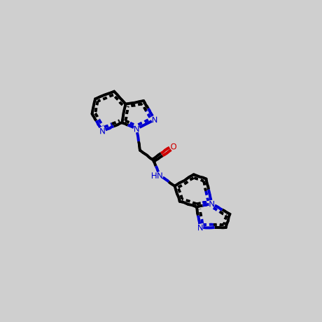 O=C(Cn1ncc2cccnc21)Nc1ccn2ccnc2c1